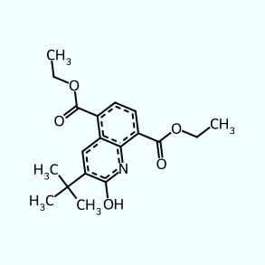 CCOC(=O)c1ccc(C(=O)OCC)c2nc(O)c(C(C)(C)C)cc12